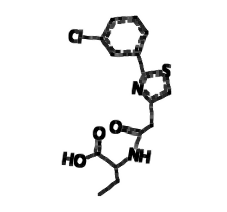 CCC(NC(=O)Cc1csc(-c2cccc(Cl)c2)n1)C(=O)O